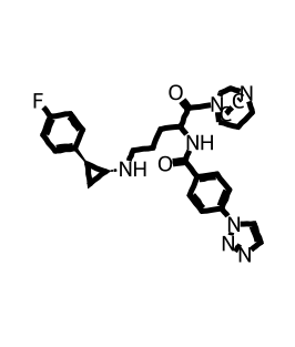 O=C(NC(CCCN[C@@H]1C[C@H]1c1ccc(F)cc1)C(=O)N1CCN2CCC1CC2)c1ccc(-n2ccnn2)cc1